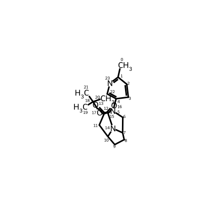 Cc1ccc(N2CC3CCC(CC2=O)N3C(=O)OC(C)(C)C)cn1